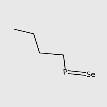 CCCCP=[Se]